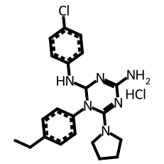 CCc1ccc(N2C(N3CCCC3)=NC(N)=NC2Nc2ccc(Cl)cc2)cc1.Cl